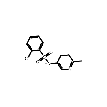 CC1=NC=C(NS(=O)(=O)c2ccccc2Cl)CC1